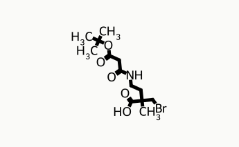 CC(C)(C)OC(=O)CC(=O)NCCC(C)(CBr)C(=O)O